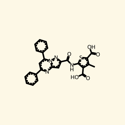 Cc1c(C(=O)O)sc(NC(=O)c2cc3nc(-c4ccccc4)cc(-c4ccccc4)n3n2)c1C(=O)O